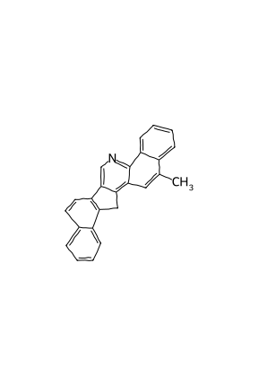 Cc1cc2c3c(cnc2c2ccccc12)-c1ccc2ccccc2c1C3